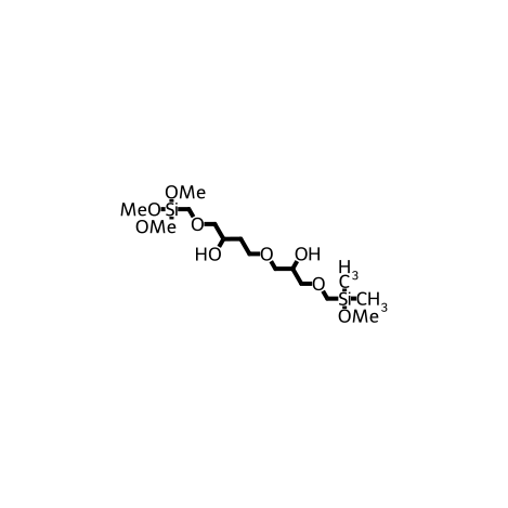 CO[Si](C)(C)COCC(O)COCCC(O)COC[Si](OC)(OC)OC